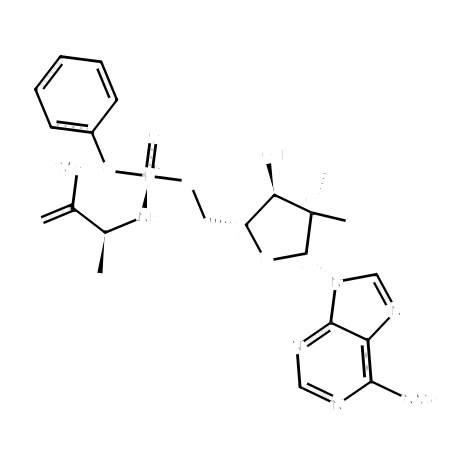 CNc1ncnc2c1ncn2[C@@H]1O[C@H](CO[P@](=O)(N[C@@H](C)C(=O)OC)Oc2ccccc2)[C@@H](O)[C@@]1(C)F